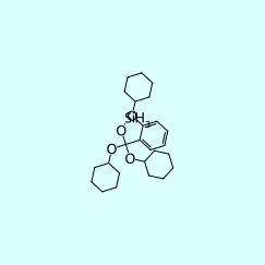 [SiH3]OC(OC1CCCCC1)(OC1CCCCC1)c1ccccc1OC1CCCCC1